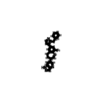 Fc1cc(-c2ccnn2Cc2ccccc2)cc2c1N=CC(c1cnc3cn[nH]c3c1)CC2